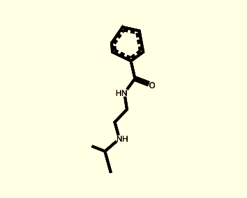 CC(C)NCCNC(=O)c1cc[c]cc1